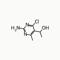 Cc1nc(N)nc(Cl)c1C(C)O